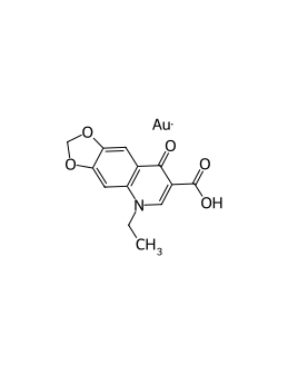 CCn1cc(C(=O)O)c(=O)c2cc3c(cc21)OCO3.[Au]